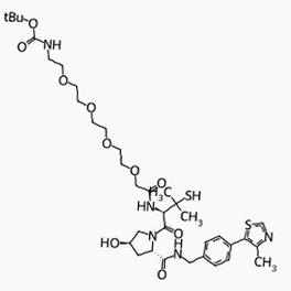 Cc1ncsc1-c1ccc(CNC(=O)[C@@H]2C[C@@H](O)CN2C(=O)[C@@H](NC(=O)COCCOCCOCCOCCNC(=O)OC(C)(C)C)C(C)(C)S)cc1